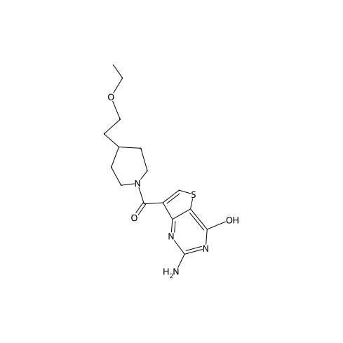 CCOCCC1CCN(C(=O)c2csc3c(O)nc(N)nc23)CC1